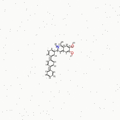 COc1cc2cc(-c3cccc(-c4ccc(-c5ccccc5)cc4)c3)[n+](C)c(C)c2cc1OC